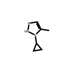 CC1=C[N]NN1C1CC1